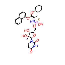 CC(N[P@@](O)(=S)OC[C@H]1O[C@@H](n2ccc(=O)[nH]c2=O)[C@](C)(O)[C@@H]1O)=C(Oc1cccc2ccccc12)OC1CCCCC1